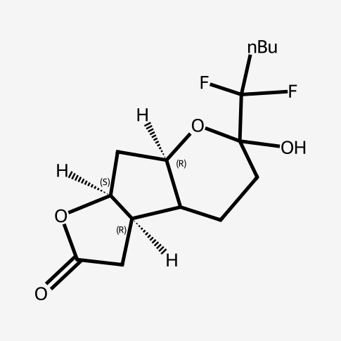 CCCCC(F)(F)C1(O)CCC2[C@H]3CC(=O)O[C@H]3C[C@H]2O1